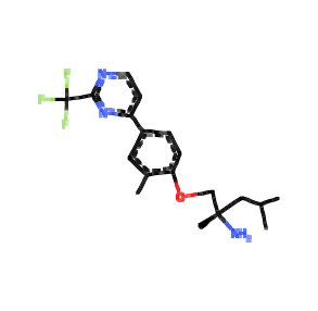 Cc1cc(-c2ccnc(C(F)(F)F)n2)ccc1OC[C@@](C)(N)CC(C)C